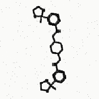 CC1(c2cccc(NCC3CCC(CNc4cccc(C5(C)OCCO5)c4)CC3)c2)OCCO1